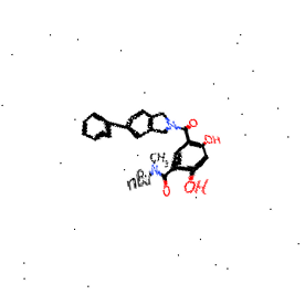 CCCCN(C)C(=O)c1cc(C(=O)N2Cc3ccc(-c4ccccc4)cc3C2)c(O)cc1O